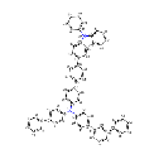 c1ccc(-c2ccc(N(c3ccc(-c4ccc(-c5ccc6c(c5)c5ccccc5n6-c5ccccc5)cc4)cc3)c3ccc(-c4cccc(-c5ccccc5)c4)cc3)cc2)cc1